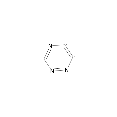 [c]1[c]nn[c]n1